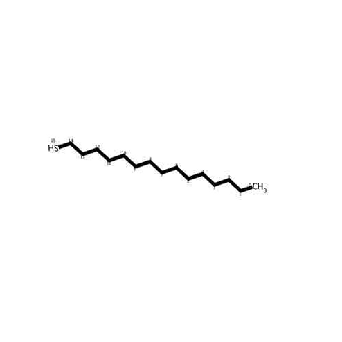 CCCCCCCCCCCCCC[CH]S